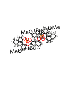 COc1cc(-c2c(Op3oc4ccc5ccccc5c4c4cc(OC)cc(C(C)(C)C)c4o3)ccc3ccccc23)c(Op2oc3ccc4ccccc4c3c3cc(OC)cc(C(C)(C)C)c3o2)c(C(C)(C)C)c1